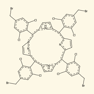 Clc1cc(CBr)cc(Cl)c1-c1c2nc(c(-c3c(Cl)cc(CBr)cc3Cl)c3ccc([nH]3)c(-c3c(Cl)cc(CBr)cc3Cl)c3nc(c(-c4c(Cl)cc(CBr)cc4Cl)c4ccc1[nH]4)C=C3)C=C2